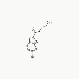 O=C(CCCO)c1cc2ccc(Br)cc2s1